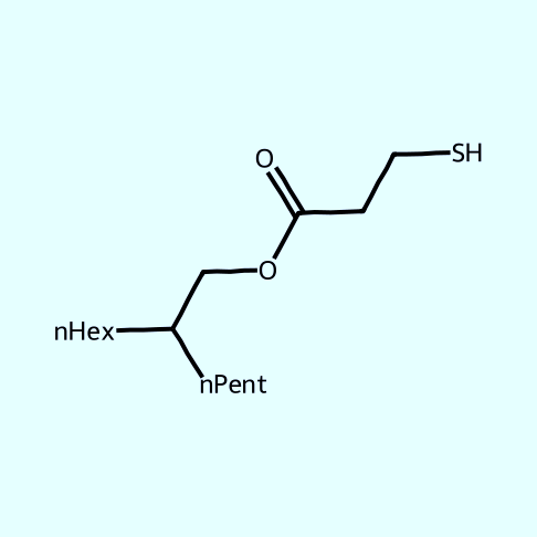 CCCCCCC(CCCCC)COC(=O)CCS